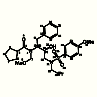 COCN(C(=O)C1CCCC1)[C@@H](Cc1ccccc1)[C@@H](O)CN(CC(C)C)S(=O)(=O)c1ccc(OC)cc1